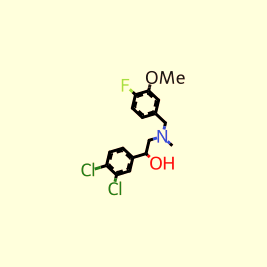 COc1cc(CN(C)CC(O)c2ccc(Cl)c(Cl)c2)ccc1F